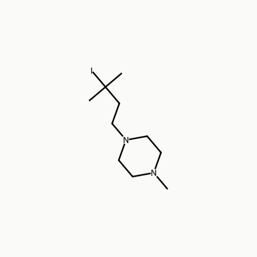 CN1CCN(CCC(C)(C)I)CC1